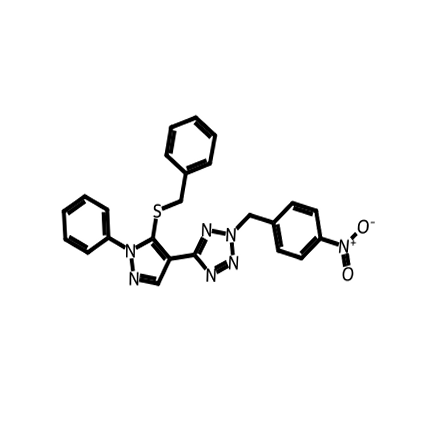 O=[N+]([O-])c1ccc(Cn2nnc(-c3cnn(-c4ccccc4)c3SCc3ccccc3)n2)cc1